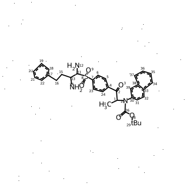 CC(C(=O)c1ccc(S(=O)(=O)C(N)C(N)CCc2ccccc2)cc1)N(C(=O)OC(C)(C)C)c1ccc2ccccc2c1